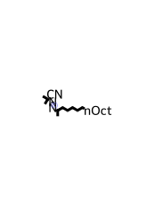 CCCCCCCCCCCCCC(C)/N=N/C(C)(C)C#N